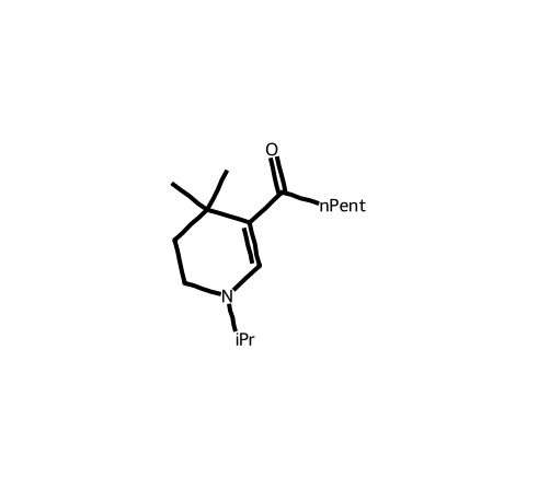 CCCCCC(=O)C1=CN(C(C)C)CCC1(C)C